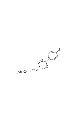 COCCC[C@H]1CO[C@H](c2ccc(F)cc2)OC1